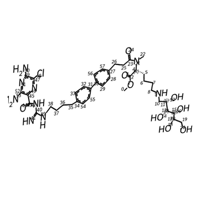 COC(=O)[C@@H](CCCCNC[C@H](O)[C@@H](O)[C@H](O)[C@H](O)CO)N(C)C(=O)CCc1ccc(-c2ccc(CCCCNC(=N)NC(=O)c3nc(Cl)c(N)nc3N)cc2)cc1